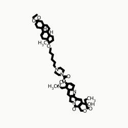 CC[C@@]1(O)C(=O)OCc2c1cc1n(c2=O)Cc2cc3c(CN(C)C)c(OC(=O)N4CCN(CCCCCCO[C@H]5CC[C@H]6[C@@H]7CCC8=C(CCC9(C8)OCCO9)C7=CC[C@]56C)CC4)ccc3nc2-1